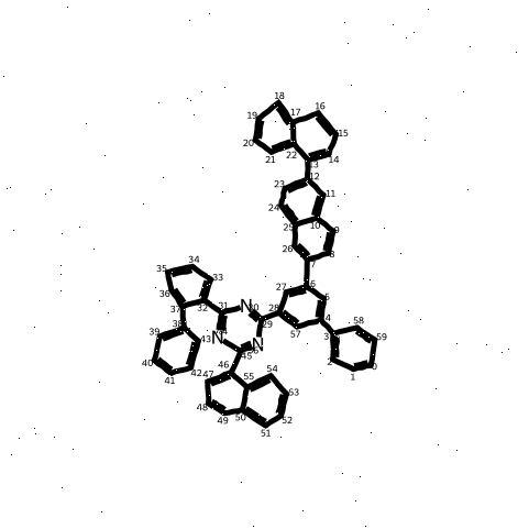 c1ccc(-c2cc(-c3ccc4cc(-c5cccc6ccccc56)ccc4c3)cc(-c3nc(-c4ccccc4-c4ccccc4)nc(-c4cccc5ccccc45)n3)c2)cc1